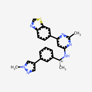 Cc1nc(N[C@H](C)c2cccc(-c3cnn(C)c3)c2)cc(-c2ccc3ncsc3c2)n1